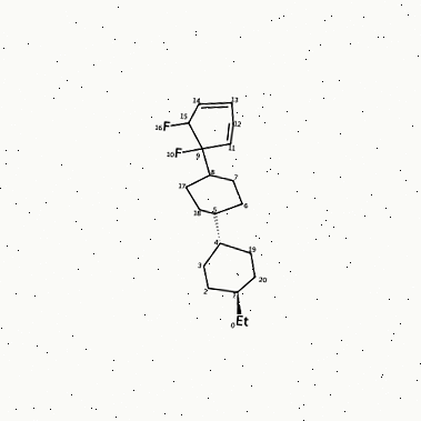 CC[C@H]1CC[C@H](C2CCC(C3(F)C=CC=CC3F)CC2)CC1